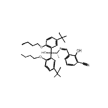 CCCCOc1ccc(C(C)(C)C)cc1C(O)(c1cc(C(C)(C)C)ccc1OCCCC)[C@@H](C)N=Cc1cccc(C#N)c1O